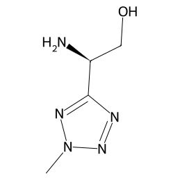 Cn1nnc([C@@H](N)CO)n1